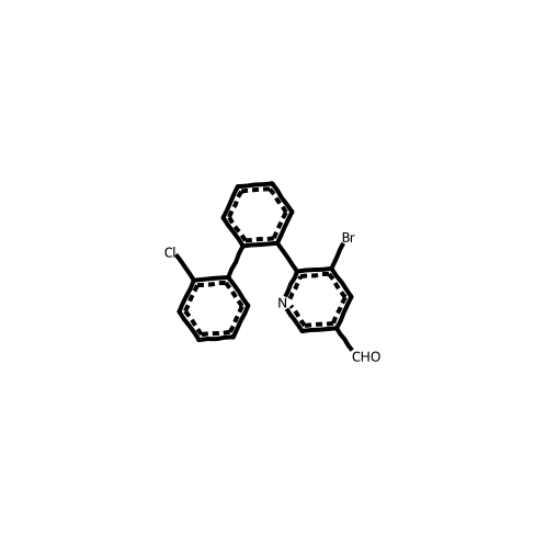 O=Cc1cnc(-c2ccccc2-c2ccccc2Cl)c(Br)c1